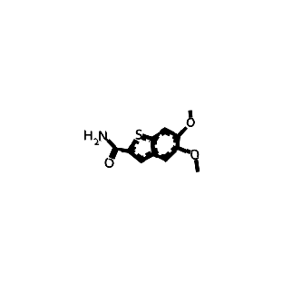 COc1cc2cc(C(N)=O)sc2cc1OC